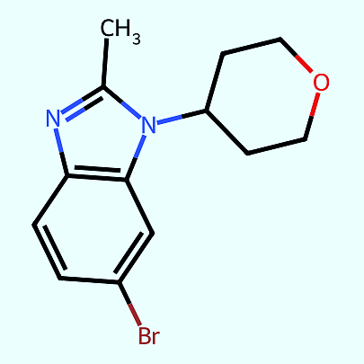 Cc1nc2ccc(Br)cc2n1C1CCOCC1